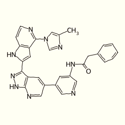 Cc1cn(-c2nccc3[nH]c(-c4n[nH]c5ncc(-c6cncc(NC(=O)Cc7ccccc7)c6)cc45)cc23)cn1